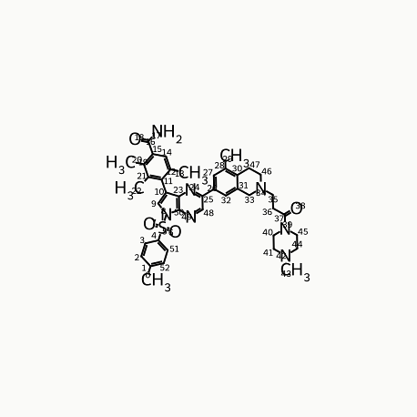 Cc1ccc(S(=O)(=O)n2cc(-c3c(C)cc(C(N)=O)c(C)c3C)c3nc(-c4cc(C)c5c(c4)CN(CCC(=O)N4CCN(C)CC4)CC5)cnc32)cc1